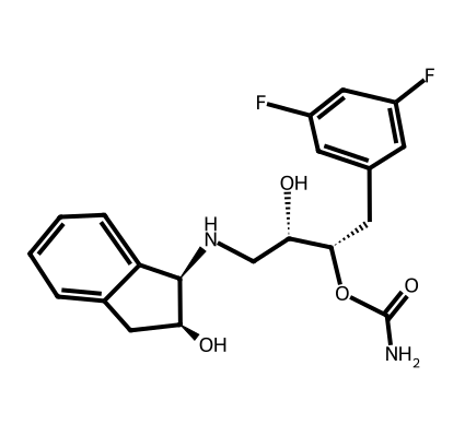 NC(=O)O[C@@H](Cc1cc(F)cc(F)c1)[C@@H](O)CN[C@@H]1c2ccccc2C[C@@H]1O